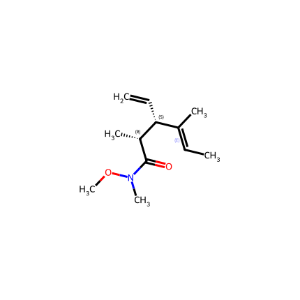 C=C[C@H](/C(C)=C/C)[C@@H](C)C(=O)N(C)OC